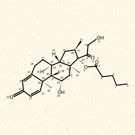 CCCCC(=O)O[C@@]1(C(=O)CO)[C@H](C)C[C@H]2[C@@H]3CCC4=CC(=O)C=C[C@]4(C)[C@@]3(F)[C@@H](O)C[C@@]21C